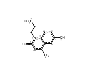 O=C(O)CCn1c(=O)nc(C(F)(F)F)c2cc(O)ccc21